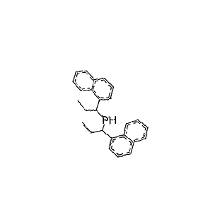 CCC(PC(CC)c1cccc2ccccc12)c1cccc2ccccc12